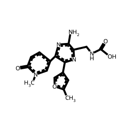 Cc1cc(-c2nc(CNC(=O)O)c(N)nc2-c2ccc(=O)n(C)c2)co1